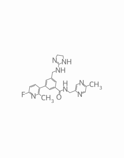 Cc1cnc(CNC(=O)c2cc(CNC3=NCCN3)cc(-c3ccc(F)nc3C)c2)cn1